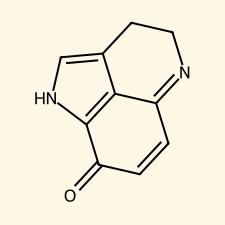 O=C1C=CC2=NCCc3c[nH]c1c32